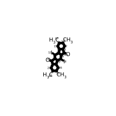 Cc1cc2c(=O)c3c(I)c4c(c(I)c3c2cc1C)c(=O)c1cc(C)c(C)cc14